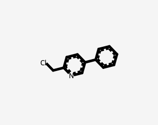 ClCc1ccc(-c2ccccc2)cn1